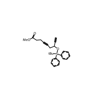 C#CC(CC#CCCC(=O)OC)O[Si](c1ccccc1)(c1ccccc1)C(C)(C)C